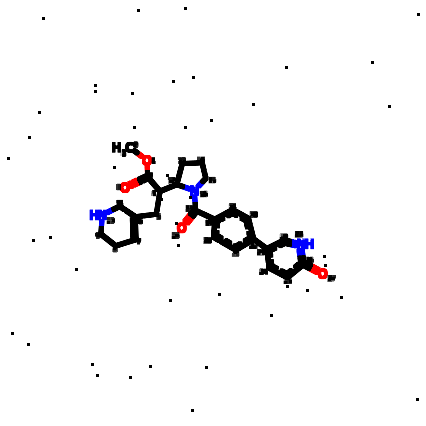 COC(=O)C(CC1=CCCNC1)C1CCCN1C(=O)c1ccc(-c2ccc(=O)[nH]c2)cc1